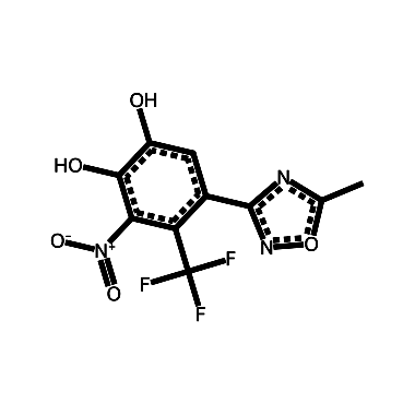 Cc1nc(-c2cc(O)c(O)c([N+](=O)[O-])c2C(F)(F)F)no1